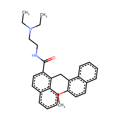 CCN(CC)CCNC(=O)c1ccc2ccccc2c1Cc1c(OC)ccc2ccccc12